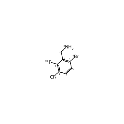 NCc1c(Br)ccc(Cl)c1F